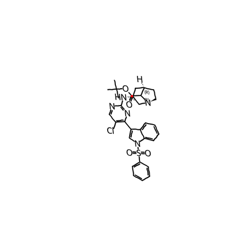 CC(C)(C)OC(=O)C1[C@@H]2CC[N@@]1C[C@H](Nc1ncc(Cl)c(-c3cn(S(=O)(=O)c4ccccc4)c4ccccc34)n1)C2